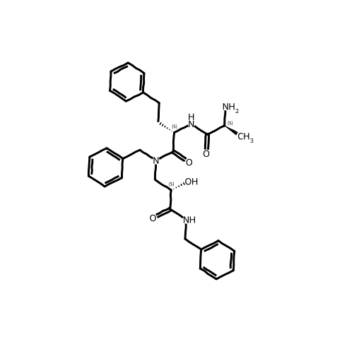 C[C@H](N)C(=O)N[C@@H](CCc1ccccc1)C(=O)N(Cc1ccccc1)C[C@H](O)C(=O)NCc1ccccc1